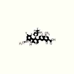 CNc1cc(F)c(F)c2c1[nH]c1ncc(-c3cnc4c(c3)c(=O)c(C(=O)O)cn4C)c(N3CCC(N)(C(F)(F)F)C3)c12